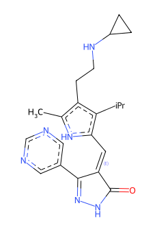 Cc1[nH]c(/C=C2/C(=O)NN=C2c2cncnc2)c(C(C)C)c1CCNC1CC1